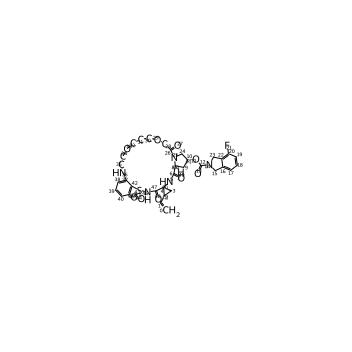 C=C[C@@H]1C[C@@]12NC(=O)[C@@H]1C[C@@H](OC(=O)N3Cc4cccc(F)c4C3)CN1C(=O)COCCCOCCNc1ccccc1S(=O)(=O)NC2=O